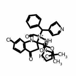 CC(C)(C)OC(=O)N[N+](C=O)(C(c1ccccc1)c1ccncc1)C1(C(=O)N2CCCC2)CC(=O)c2ccc(Cl)cc2N1